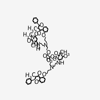 Cc1c(-c2ccccc2)oc2cccc(OCCCN(CCNc3cc(=O)n(C)c(=O)n3C)CCOC(=O)C(=O)OCCN(CCCOc3cccc4oc(-c5ccccc5)c(C)c(=O)c34)CCNc3cc(=O)n(C)c(=O)n3C)c2c1=O